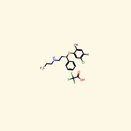 N#Cc1cc(F)c(Cl)cc1O[C@H](CCNCCC(F)(F)F)c1ccccc1.O=C(O)C(F)(F)F